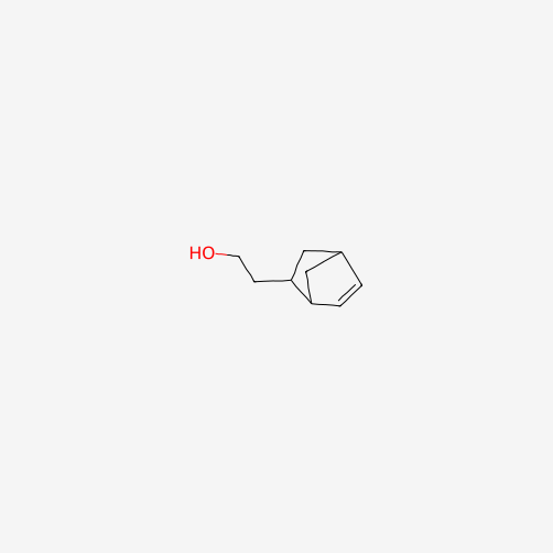 OCCC1CC2C=CC1C2